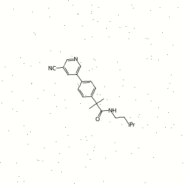 CC(C)CCNC(=O)C(C)(C)c1ccc(-c2cncc(C#N)c2)cc1